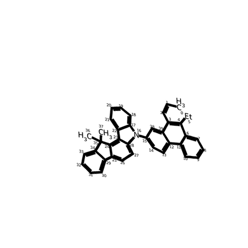 C/C=C\c1c(CC)c2ccccc2c2ccc(-n3c4ccccc4c4c5c(ccc43)-c3ccccc3C5(C)C)cc12